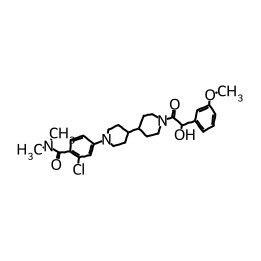 COc1cccc(C(O)C(=O)N2CCC(C3CCN(c4ccc(C(=O)N(C)C)c(Cl)c4)CC3)CC2)c1